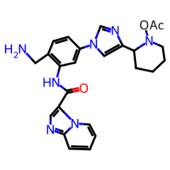 CC(=O)ON1CCCCC1c1cn(-c2ccc(CN)c(NC(=O)c3cnc4ccccn34)c2)cn1